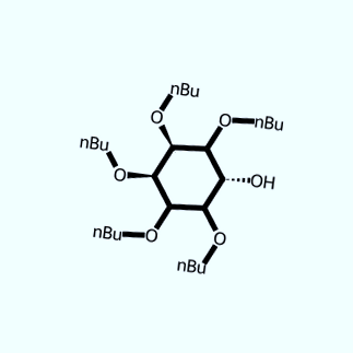 CCCCOC1C(OCCCC)[C@@H](OCCCC)[C@@H](OCCCC)C(OCCCC)[C@@H]1O